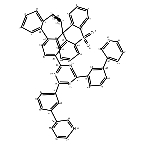 O=S1(=O)c2ccccc2C2(c3ccccc3-c3ccccc3-c3ccc(-c4nc(-c5cccc(-c6cccnc6)c5)nc(-c5cccc(-c6cccnc6)c5)n4)cc32)c2ccccc21